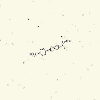 CC(C)(C)OC(=O)N1CC2(C1)CN(c1ccc(C(=O)O)c(F)c1)C2